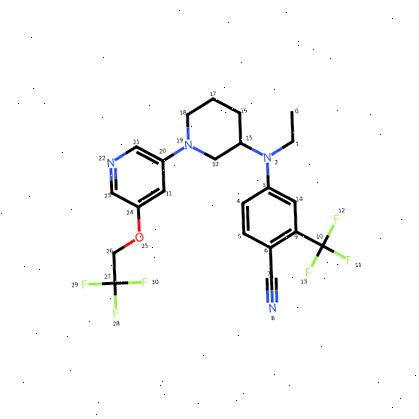 CCN(c1ccc(C#N)c(C(F)(F)F)c1)C1CCCN(c2cncc(OCC(F)(F)F)c2)C1